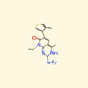 CCn1c(=O)c(-c2cscc2C)cc2c1=NC(N)NC=2C